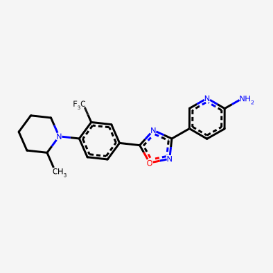 CC1CCCCN1c1ccc(-c2nc(-c3ccc(N)nc3)no2)cc1C(F)(F)F